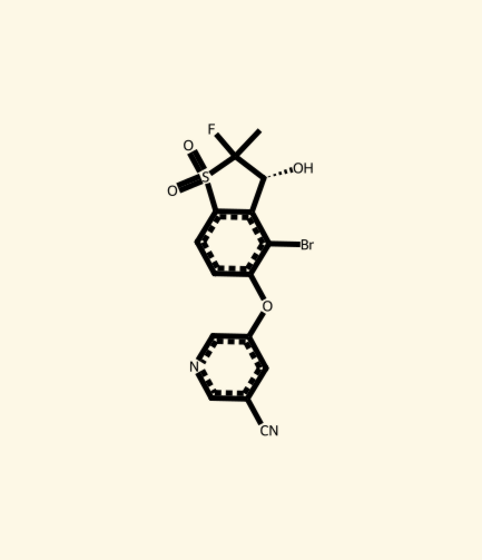 CC1(F)[C@H](O)c2c(ccc(Oc3cncc(C#N)c3)c2Br)S1(=O)=O